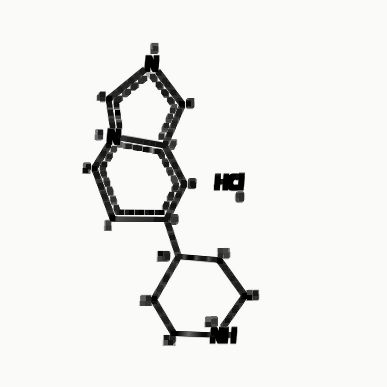 Cl.c1cn2cncc2cc1C1CCNCC1